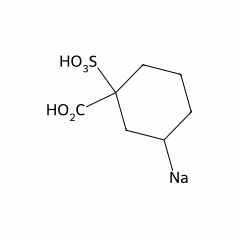 O=C(O)C1(S(=O)(=O)O)CCC[CH]([Na])C1